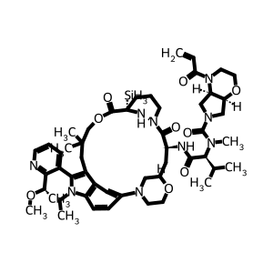 C=CC(=O)N1CCO[C@H]2CN(C(=O)N(C)[C@H](C(=O)N[C@H]3C[C@H]4CN(CCO4)c4ccc5c(c4)c(c(-c4cccnc4[C@H](C)OC)n5CC)CC(C)(C)COC(=O)[C@@]4([SiH3])CCCN(N4)C3=O)C(C)C)C[C@H]21